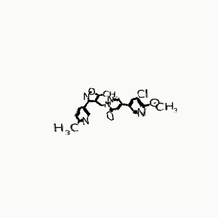 COc1ncc(-c2cnn(Cc3c(-c4ccc(C)nc4)noc3C)c(=O)c2)cc1Cl